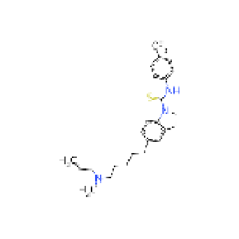 C=CCN(C)CCCCCc1ccc2c(c1)CCN2C(=S)Nc1ccc(C(F)(F)F)cc1